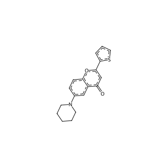 O=c1cc(-c2cccs2)oc2ccc(N3CCCCC3)cc12